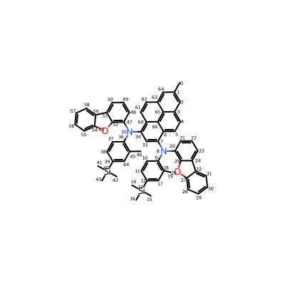 Cc1cc2ccc3c(N(c4ccc([Si](C)(C)C)cc4C)c4cccc5c4oc4ccccc45)cc(N(c4ccc([Si](C)(C)C)cc4C)c4cccc5c4oc4ccccc45)c4ccc(c1)c2c34